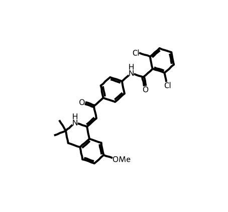 COc1ccc2c(c1)C(=CC(=O)c1ccc(NC(=O)c3c(Cl)cccc3Cl)cc1)NC(C)(C)C2